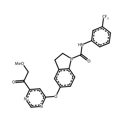 COCC(=O)c1cc(Oc2ccc3c(c2)CCN3C(=O)Nc2cccc(C(F)(F)F)c2)ncn1